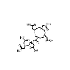 O=C(O)CN1CCN(CC(=O)O)CCN(C(=O)CN(CCN(CC(=O)O)CC(=O)O)CC(=O)O)CCN(CC(=O)O)CC1